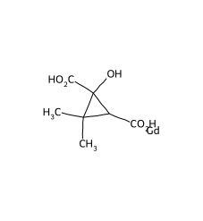 CC1(C)C(C(=O)O)C1(O)C(=O)O.[Gd]